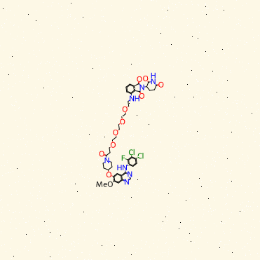 COc1cc2ncnc(Nc3ccc(Cl)c(Cl)c3F)c2cc1OC1CCN(C(=O)CCOCCOCCOCCOCCNc2cccc3c2C(=O)N(C2CCC(=O)NC2=O)C3=O)CC1